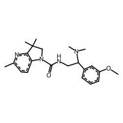 COc1cccc(C(CNC(=O)N2CC(C)(C)c3nc(C)ccc32)N(C)C)c1